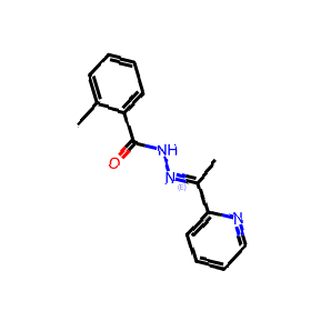 C/C(=N\NC(=O)c1ccccc1C)c1ccccn1